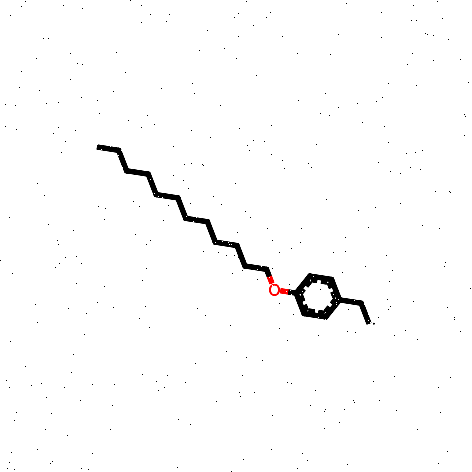 [CH2]Cc1ccc(OCCCCCCCCCCCC)cc1